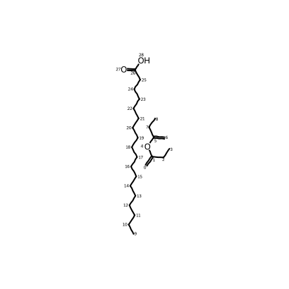 C=C(CC)OC(=C)CC.CCCCCCCCCCCCCCCCCC(=O)O